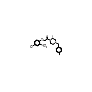 C[C@@H]1CN(Cc2ccc(F)cc2)CCN1C(=O)COc1ccc(Cl)cc1[N+](=O)[O-]